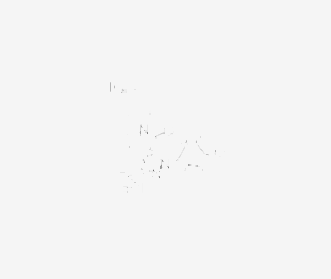 COc1ccc(-n2nc(C(F)(F)F)c3c2C(=O)N(CCCO)CC3)cc1